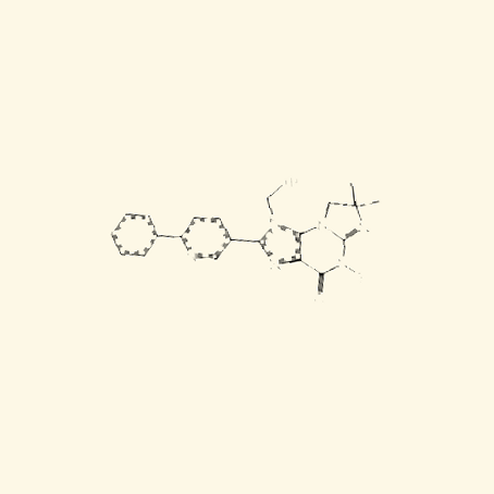 CCN1C(=O)c2nc(-c3ccc(-c4ccccc4)nc3)n(CC(C)(C)C)c2N2CC(C)(C)N=C12